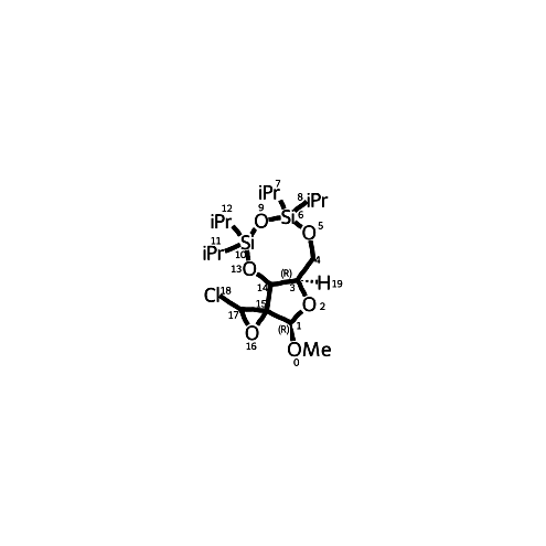 CO[C@@H]1O[C@@H]2CO[Si](C(C)C)(C(C)C)O[Si](C(C)C)(C(C)C)OC2C12OC2Cl